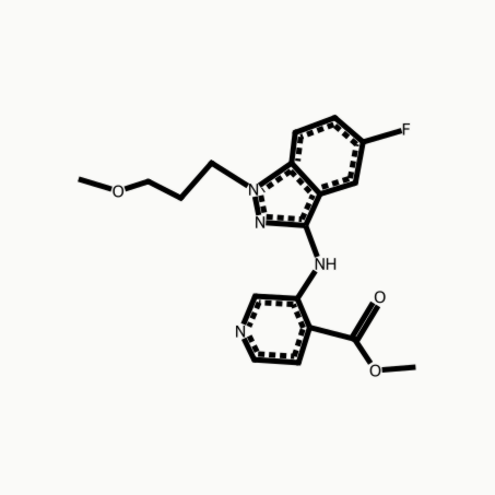 COCCCn1nc(Nc2cnccc2C(=O)OC)c2cc(F)ccc21